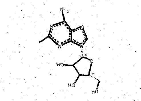 Nc1nc(I)nc2c1ncn2[C@@H]1O[C@H](CO)C(O)C1O